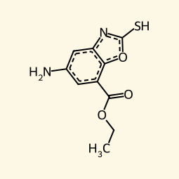 CCOC(=O)c1cc(N)cc2nc(S)oc12